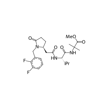 COC(=O)C(C)(C)NC(=O)[C@@H](NC(=O)C[C@@H]1CCC(=O)N1Cc1cccc(F)c1F)C(C)C